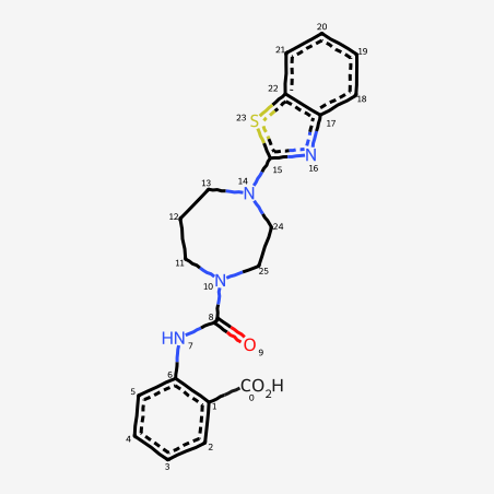 O=C(O)c1ccccc1NC(=O)N1CCCN(c2nc3ccccc3s2)CC1